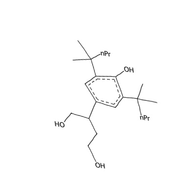 CCCC(C)(C)c1cc(C(CO)CCO)cc(C(C)(C)CCC)c1O